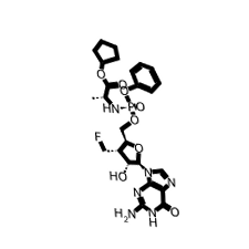 C[C@@H](N[P@](=O)(OC[C@H]1O[C@@H](n2cnc3c(=O)[nH]c(N)nc32)[C@H](O)[C@@H]1CF)Oc1ccccc1)C(=O)OC1CCCC1